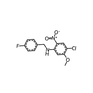 COc1cc(NCc2ccc(F)cc2)c([N+](=O)[O-])cc1Cl